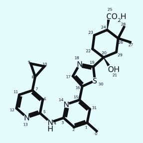 Cc1cc(Nc2cc(C3CC3)ccn2)nc(-c2cnc([C@]3(O)CC[C@@H](C(=O)O)C(C)(C)C3)s2)c1